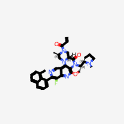 C=CC(=O)N1C[C@@H]2C(=O)N3c4c(nc5c(F)c(-c6cccc7cccc(C)c67)ncc5c4N2C[C@H]1C)OC[C@H]3[C@@H]1CCCN1C